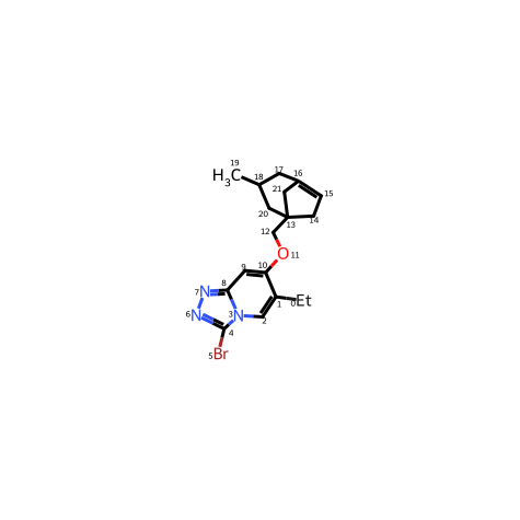 CCc1cn2c(Br)nnc2cc1OCC12CC=C(CC(C)C1)C2